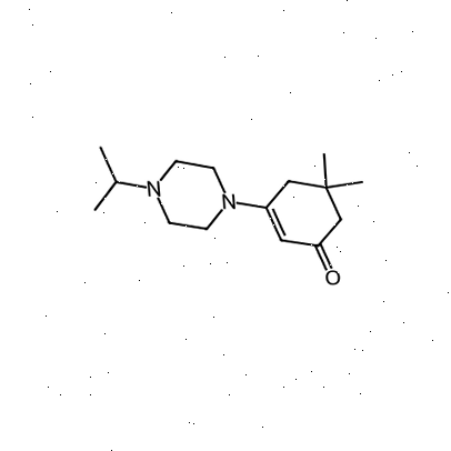 CC(C)N1CCN(C2=CC(=O)CC(C)(C)C2)CC1